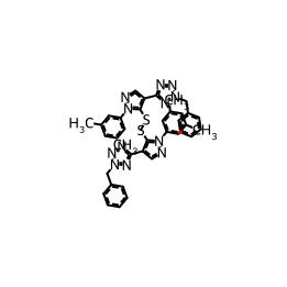 Cc1cc(C)cc(-n2ncc(-c3nnn(Cc4ccccc4)n3)c2SSc2c(-c3nnn(Cc4ccccc4)n3)cnn2-c2cc(C)cc(C)c2)c1